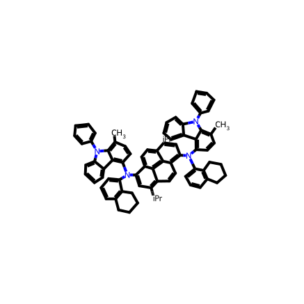 Cc1ccc(N(c2cccc3c2CCCC3)c2cc(C(C)C)c3ccc4c(N(c5cccc6c5CCCC6)c5ccc(C)c6c5c5ccccc5n6-c5ccccc5)cc(C(C)C)c5ccc2c3c54)c2c3ccccc3n(-c3ccccc3)c12